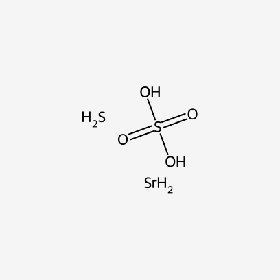 O=S(=O)(O)O.S.[SrH2]